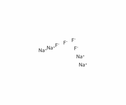 [F-].[F-].[F-].[F-].[Na+].[Na+].[Na+].[Na+]